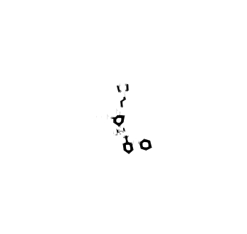 O=C(NS(=O)(=O)c1ccc(NCCCN2CCOCC2)c([N+](=O)[O-])c1)c1ccccc1Oc1ccccc1